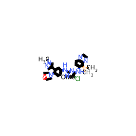 COc1cc(N2CCOCC2)c(-c2cnn(C)c2)cc1Nc1ncc(Cl)c(Nc2ccc3nccnc3c2P(C)C)n1